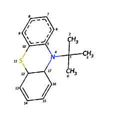 CC(C)(C)N1c2ccccc2SC2C=CC=CC21